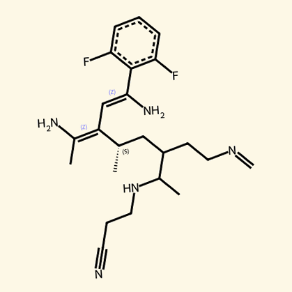 C=NCCC(C[C@H](C)C(/C=C(\N)c1c(F)cccc1F)=C(\C)N)C(C)NCCC#N